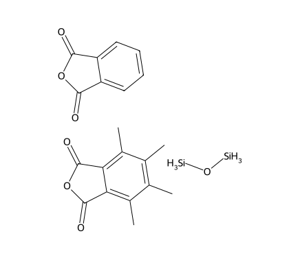 Cc1c(C)c(C)c2c(c1C)C(=O)OC2=O.O=C1OC(=O)c2ccccc21.[SiH3]O[SiH3]